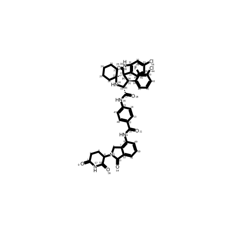 O=C1CCC(N2Cc3c(NC(=O)c4ccc(NC(=O)[C@@H]5NC6(CCCCC6)[C@@]6(C(=O)Nc7cc(Cl)ccc76)[C@H]5c5cccc(Cl)c5F)cc4)cccc3C2=O)C(=O)N1